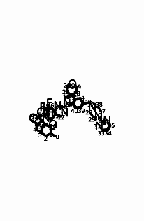 CC1CC2CC(C)C(NC(=O)c3cnc(N4CC5(CCOCC5)c5cc(CN6CCN(c7ncccn7)CC6)ccc54)nc3C(F)(F)F)(C(=O)O)C(C1)C2